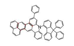 c1ccc(-c2cc(-c3ccccc3)cc(N(c3ccccc3-c3cccc(-c4cccc5ccccc45)c3)c3cccc4c3-c3ccccc3C4(c3ccccc3)c3ccccc3)c2)cc1